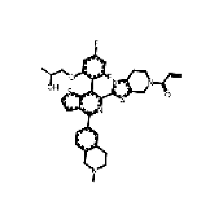 C=CC(=O)N1CCc2nc(-c3nc(-c4ccc5c(c4)CCN(C)C5)c4ccsc4c3-c3c(F)cc(F)cc3OC[C@H](C)O)sc2C1